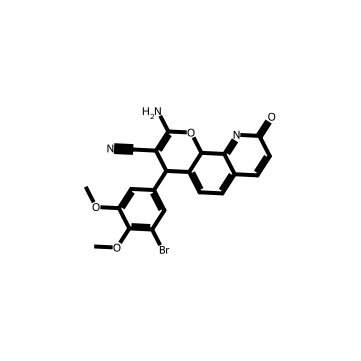 COc1cc(C2C3=CC=C4C=CC(=O)N=C4C3OC(N)=C2C#N)cc(Br)c1OC